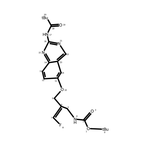 CC(C)(C)OC(=O)NC/C(=C\F)COc1ccc2nc(NC(=O)C(C)(C)C)ncc2c1